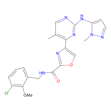 COc1c(Cl)cccc1CNC(=O)c1nc(-c2nc(Nc3ccnn3C)ncc2C)co1